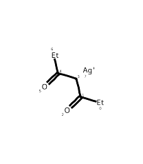 CCC(=O)CC(=O)CC.[Ag+]